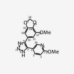 COc1ccc(-c2[nH]nnc2-c2cc(OC)c3c(c2)OCO3)cn1